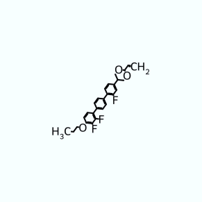 C=CC1OCC(c2ccc(-c3ccc(-c4ccc(OCCC)c(F)c4F)cc3)c(F)c2)CO1